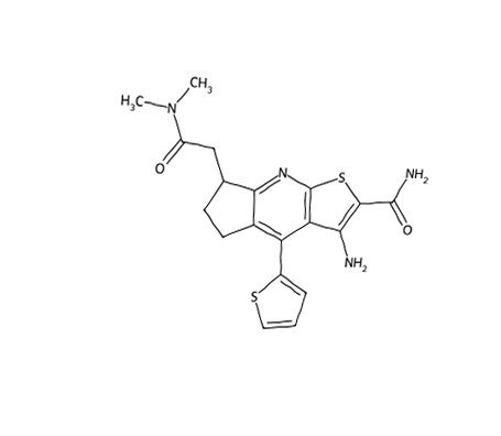 CN(C)C(=O)CC1CCc2c1nc1sc(C(N)=O)c(N)c1c2-c1cccs1